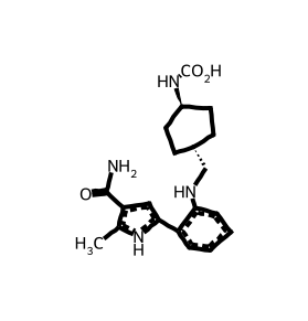 Cc1[nH]c(-c2ccccc2NC[C@H]2CC[C@H](NC(=O)O)CC2)cc1C(N)=O